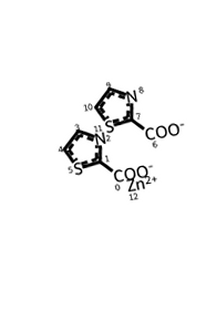 O=C([O-])c1nccs1.O=C([O-])c1nccs1.[Zn+2]